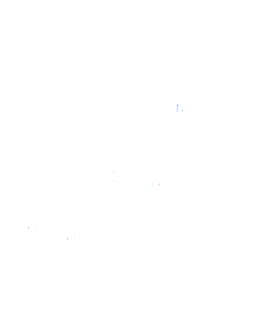 C=CC(=O)OCCOC(=O)CCn1c2ccccc2c2ccccc21